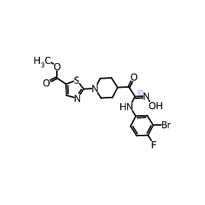 COC(=O)c1cnc(N2CCC(C(=O)/C(=N/O)Nc3ccc(F)c(Br)c3)CC2)s1